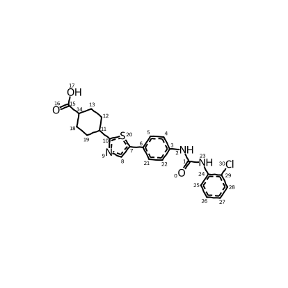 O=C(Nc1ccc(-c2cnc(C3CCC(C(=O)O)CC3)s2)cc1)Nc1ccccc1Cl